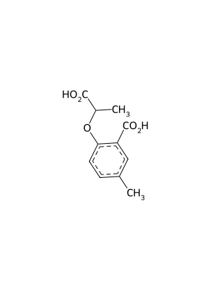 Cc1ccc(OC(C)C(=O)O)c(C(=O)O)c1